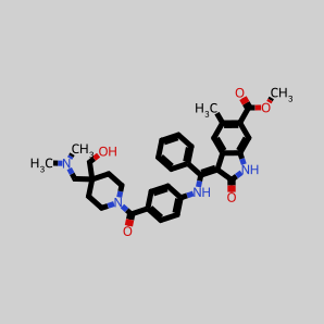 COC(=O)c1cc2c(cc1C)/C(=C(/Nc1ccc(C(=O)N3CCC(CO)(CN(C)C)CC3)cc1)c1ccccc1)C(=O)N2